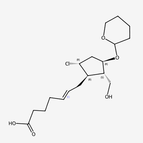 O=C(O)CCC/C=C/C[C@@H]1[C@@H](CO)[C@H](OC2CCCCO2)C[C@H]1Cl